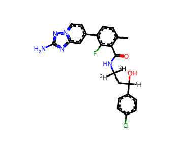 [2H]C([2H])(CC([2H])(O)c1ccc(Cl)cc1)NC(=O)c1c(C)ccc(-c2ccn3nc(N)nc3c2)c1F